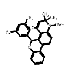 CON1c2ccc3c(c2C(C)=CC1(C)C)C(c1cc(C)cc(C(C)=O)c1)Oc1ccccc1-3